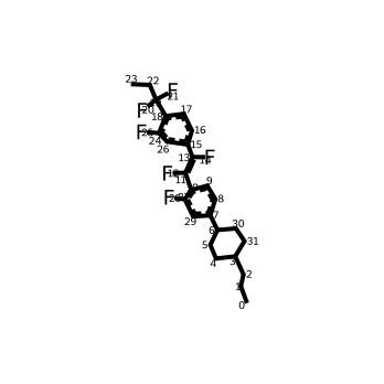 CCCC1CCC(c2ccc(/C(F)=C(\F)c3ccc(C(F)(F)CC)c(F)c3)c(F)c2)CC1